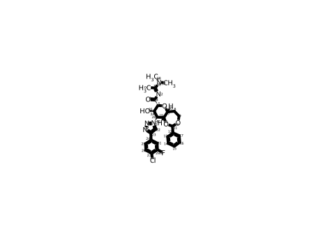 C/C(=N\C(=O)[C@@H]1O[C@@H]2CCOC(c3ccccc3)O[C@@H]2[C@H](n2cc(-c3ccc(Cl)c(F)c3)nn2)[C@H]1O)N(C)C